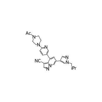 CC(=O)N1CCN(c2ccc(-c3cc(-c4cnn(CC(C)C)c4)cn4ncc(C#N)c34)cn2)CC1